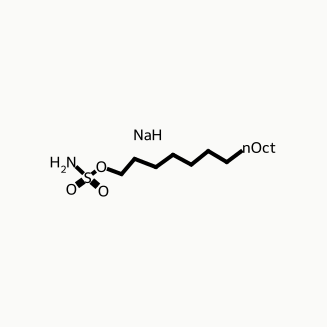 CCCCCCCCCCCCCCCOS(N)(=O)=O.[NaH]